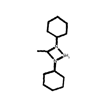 CC1N(C2CCCCC2)[SiH2]N1C1CCCCC1